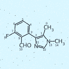 Cc1c(-c2cccc(F)c2C=O)ncn1C